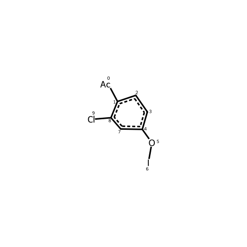 CC(=O)c1ccc(OI)cc1Cl